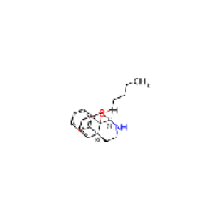 CCCCCOC12CCC=C[C@@]13CCN[C@@H]2Cc1ccccc13